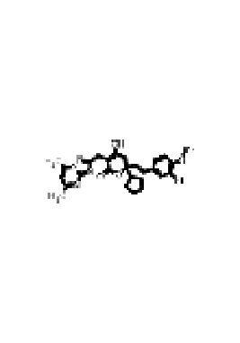 CCc1cc(CCC2(C3CCCC3)CC(O)=C(Cc3nc4nc(C)cc(C)n4n3)C(=O)O2)ccc1OC(C)C